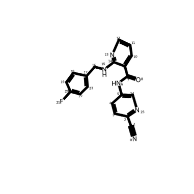 N#Cc1ccc(NC(=O)c2cccnc2NCc2ccc(F)cc2)cn1